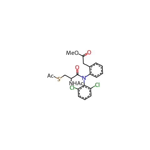 COC(=O)Cc1ccccc1N(C(=O)[C@H](CSC(C)=O)NC(C)=O)c1c(Cl)cccc1Cl